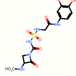 O=C(O)NC1CN(C(=O)NS(=O)(=O)NCC(=O)Nc2ccc(O)c(O)c2)C1=O